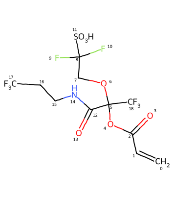 C=CC(=O)OC(OCC(F)(F)S(=O)(=O)O)(C(=O)NCCC(F)(F)F)C(F)(F)F